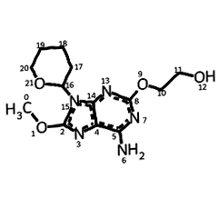 COc1nc2c(N)nc(OCCO)nc2n1C1CCCCO1